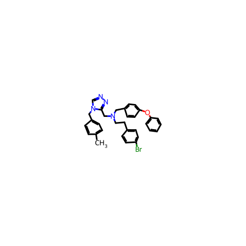 Cc1ccc(Cn2cnnc2CN(CCc2ccc(Br)cc2)Cc2ccc(Oc3ccccc3)cc2)cc1